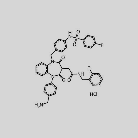 Cl.NCc1ccc(N2C(=O)C(CC(=O)NCc3ccccc3F)C(=O)N(Cc3ccc(NS(=O)(=O)c4ccc(F)cc4)cc3)c3ccccc32)cc1